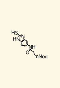 CCCCCCCCCCCC(=O)Nc1ccc2[nH]c(S)nc2c1